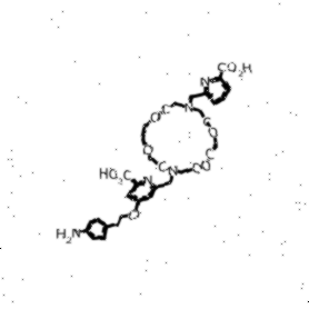 Nc1ccc(CCOc2cc(CN3CCOCCOCCN(Cc4cccc(C(=O)O)n4)CCOCCOCC3)nc(C(=O)O)c2)cc1